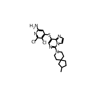 CC1CCC2(CCN(c3ncc(Sc4cc(N)nc(Cl)c4Cl)c4nccn34)CC2)C1